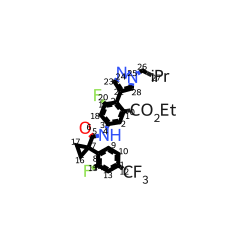 CCOC(=O)c1cc(NC(=O)C2(c3ccc(C(F)(F)F)cc3F)CC2)cc(F)c1-c1cnn(CC(C)C)c1